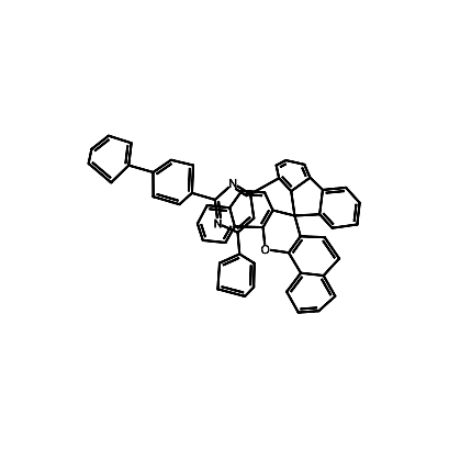 c1ccc(-c2ccc(-c3nc(-c4ccccc4)cc(-c4cccc5c4C4(c6ccccc6-5)c5ccc6ccccc6c5Oc5c4ccc4ccccc54)n3)cc2)cc1